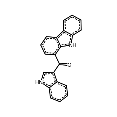 O=C(c1c[nH]c2ccccc12)c1cccc2c1[nH]c1ccccc12